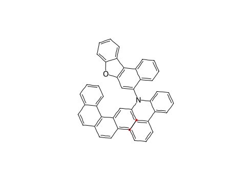 c1ccc(-c2ccccc2N(c2ccc3ccc4ccc5ccccc5c4c3c2)c2cc3oc4ccccc4c3c3ccccc23)cc1